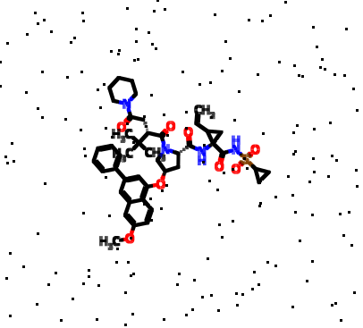 C=CC1C[C@]1(NC(=O)[C@@H]1C[C@@H](Oc2cc(-c3ccccc3)cc3cc(OC)ccc23)CN1C(=O)[C@@H](CC(=O)N1CCCCC1)C(C)(C)C)C(=O)NS(=O)(=O)C1CC1